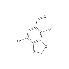 O=Cc1cc(Cl)c2c(c1Br)OCO2